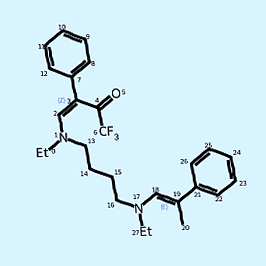 CCN(/C=C(\C(=O)C(F)(F)F)c1ccccc1)CCCCN(/C=C(\C)c1ccccc1)CC